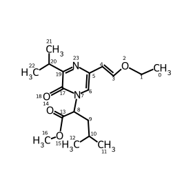 CCOC=Cc1cn(C(CC(C)C)C(=O)OC)c(=O)c(C(C)C)n1